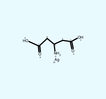 NC(CC(=O)O)CC(=O)O.[Ag]